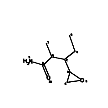 CCC(C1CO1)C(C)C(N)=O